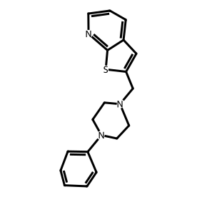 c1ccc(N2CCN(Cc3cc4cccnc4s3)CC2)cc1